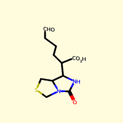 O=CCCCC(C(=O)O)C1NC(=O)N2CSCC12